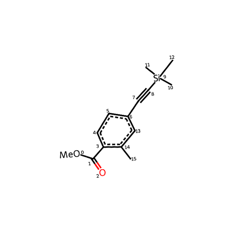 COC(=O)c1ccc(C#C[Si](C)(C)C)cc1C